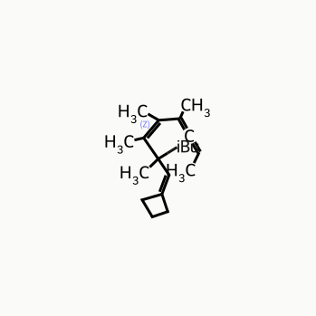 CC=C=C(C)/C(C)=C(/C)C(C)(C=C1CCC1)C(C)CC